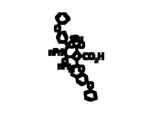 CCCN(Cc1ccc(Oc2ccccc2)cc1)C(=O)C1C(C(=O)O)C(C(=O)OC(C)(C)C)C1C(=O)N(CCC)Cc1ccc(Oc2ccccc2)cc1